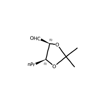 CCC[C@@H]1OC(C)(C)O[C@@H]1C=O